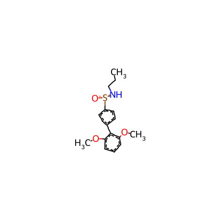 CCCN[S+]([O-])c1ccc(-c2c(OC)cccc2OC)cc1